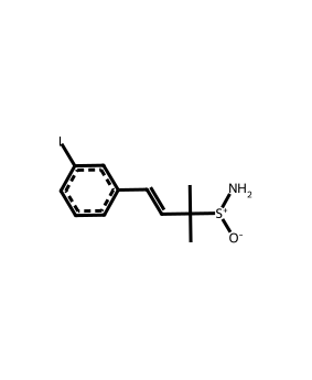 CC(C)(C=Cc1cccc(I)c1)[S+](N)[O-]